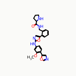 COc1cc(Nc2ncc(-c3ccccc3CNC(=O)C3CCCN3)o2)ccc1-c1cnco1